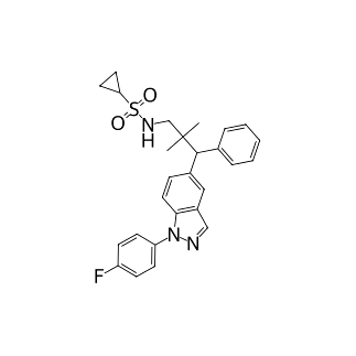 CC(C)(CNS(=O)(=O)C1CC1)C(c1ccccc1)c1ccc2c(cnn2-c2ccc(F)cc2)c1